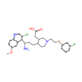 COc1ccc2ncc(Cl)c(C(N)CCC3CCN(CCSc4cccc(F)c4)CC3CC(=O)O)c2c1